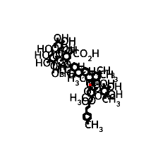 CC(=O)OC1C(OC(=O)/C=C/c2ccc(C)cc2)C(C)OC(OC(=O)[C@]23CCC(C)(C)C[C@H]2C2C=C[C@@H]4[C@@]5(C)CC[C@H](OC6CC(CC(=O)O)C(O)C(OC7OCC(O)C(O)C7O)C6OC6OC(CO)C(O)C(O)C6O)[C@@](C)(C=O)[C@@H]5CC[C@@]4(C)[C@]2(C)C[C@H]3O)C1OC1CC(C)C(O)C(O)C1O